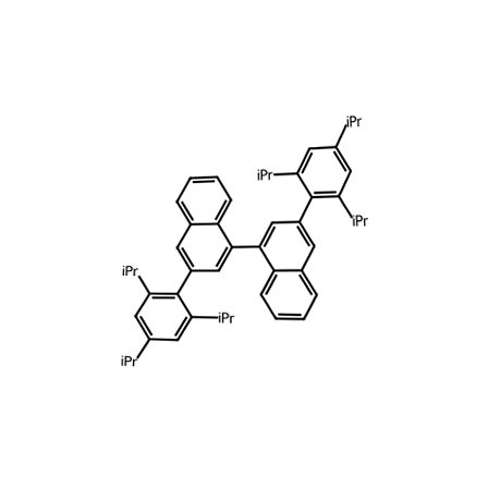 CC(C)c1cc(C(C)C)c(-c2cc(-c3cc(-c4c(C(C)C)cc(C(C)C)cc4C(C)C)cc4ccccc34)c3ccccc3c2)c(C(C)C)c1